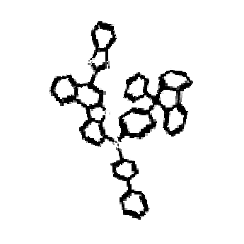 c1ccc(-c2ccc(N(c3ccc(C4(c5ccccc5)c5ccccc5-c5ccccc54)cc3)c3cccc4c3oc3cc(-c5nc6ccccc6s5)c5ccccc5c34)cc2)cc1